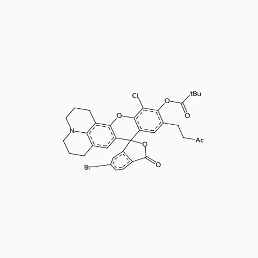 CC(=O)CCc1cc2c(c(Cl)c1OC(=O)C(C)(C)C)Oc1c(cc3c4c1CCCN4CCC3)C21OC(=O)c2ccc(Br)cc21